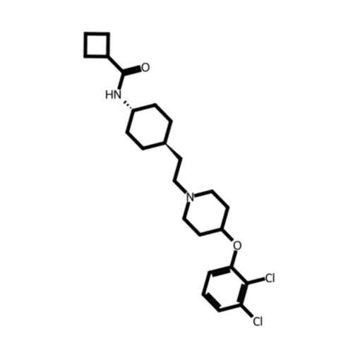 O=C(N[C@H]1CC[C@H](CCN2CCC(Oc3cccc(Cl)c3Cl)CC2)CC1)C1CCC1